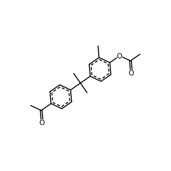 CC(=O)Oc1ccc(C(C)(C)c2ccc(C(C)=O)cc2)cc1C